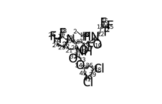 CC(C)[C@H](C(=O)C(F)(F)C(=O)NCCC(F)(F)F)C(N)[C@H](Cc1ccc(F)c(F)c1)NC(=O)COc1cc(Cl)cc(Cl)c1